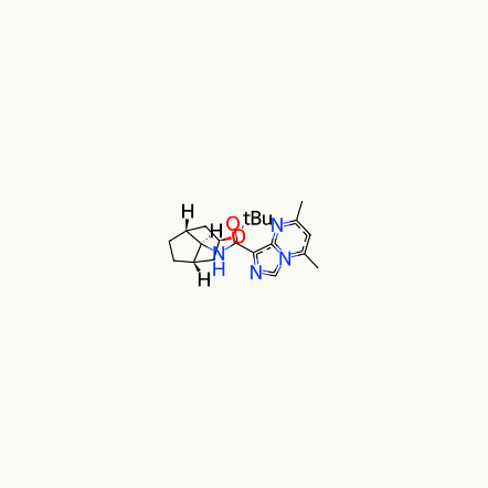 Cc1cc(C)n2cnc(C(=O)N[C@@H]3[C@@H]4CC[C@H]3C[C@H](OC(C)(C)C)C4)c2n1